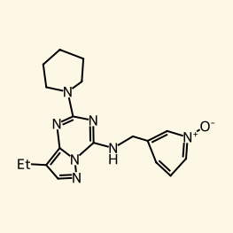 CCc1cnn2c(NCc3ccc[n+]([O-])c3)nc(N3CCCCC3)nc12